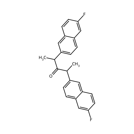 CC(C(=O)C(C)c1ccc2cc(F)ccc2c1)c1ccc2cc(F)ccc2c1